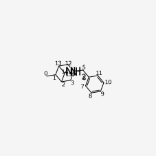 CC1C2CN(Cc3ccccc3)CC1C2N